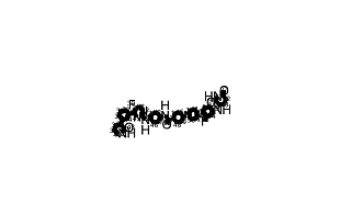 O=C1CC[C@@H](Nc2ccc(N3CCN([C@H]4CC[C@H](C(=O)N[C@H]5CC[C@H](Nc6ncc(F)c(-c7cccc(-c8ccc[nH]c8=O)c7)n6)CC5)CC4)CC3)c(F)c2)C(=O)N1